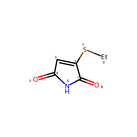 CCSC1=CC(=O)NC1=O